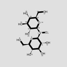 [O-][S+]([C@@H]1O[C@H](CO)[C@@H](O)[C@H](O)[C@H]1O)[C@@H]1O[C@H](CO)[C@@H](O)[C@H](O)[C@H]1O